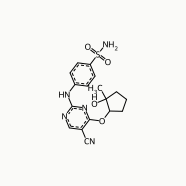 CC1(O)CCCC1Oc1nc(Nc2ccc(S(N)(=O)=O)cc2)ncc1C#N